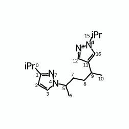 CC(C)c1ccn(C(C)CCC(C)c2cnn(C(C)C)c2)n1